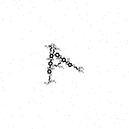 CN(C)CCCOc1ccc2nc(-c3ccc(-c4nc5ccc(OCCCN(C)C)cc5[nH]4)c(OCCN(C)CCOc4cc(-c5nc6ccc(OCCCN(C)C)cc6[nH]5)ccc4-c4nc5ccc(OCCCN(C)C)cc5[nH]4)c3)[nH]c2c1